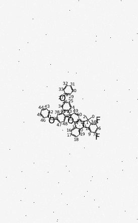 CC1(C)c2c(F)cc(F)cc2-c2c1c1c(c3ccccc23)OC(c2ccc(Oc3ccccc3)cc2)(c2ccc(Oc3ccccc3)cc2)C=C1